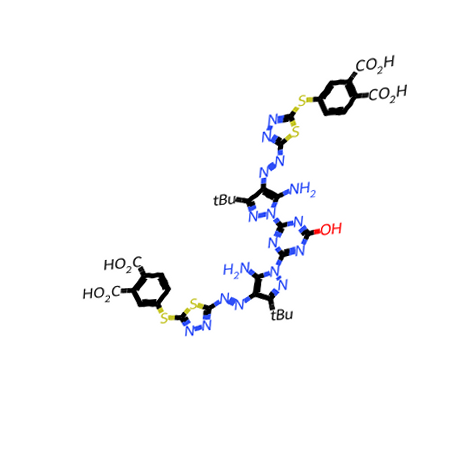 CC(C)(C)c1nn(-c2nc(O)nc(-n3nc(C(C)(C)C)c(N=Nc4nnc(Sc5ccc(C(=O)O)c(C(=O)O)c5)s4)c3N)n2)c(N)c1N=Nc1nnc(Sc2ccc(C(=O)O)c(C(=O)O)c2)s1